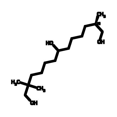 C[C@@H](CO)CCCCC(O)CCCCC(C)(C)CO